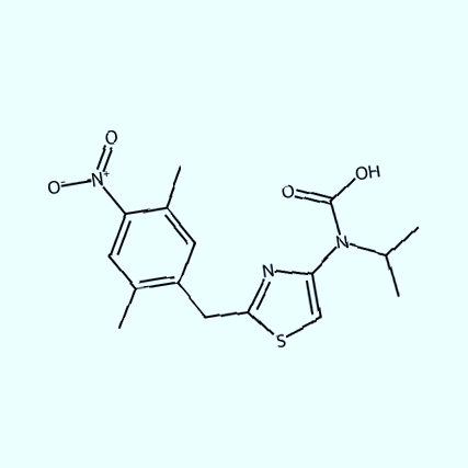 Cc1cc([N+](=O)[O-])c(C)cc1Cc1nc(N(C(=O)O)C(C)C)cs1